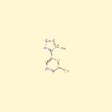 Cc1cncc(-c2n[nH]cc2Cl)c1